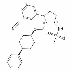 CS(=O)(=O)N[C@H]1CCN(c2cncc(C#N)c2)[C@H]1CO[C@H]1CC[C@@H](c2ccccc2)CC1